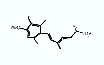 CCOC(=O)C(CC=C(C)C=Cc1c(C)cc(OC)c(C)c1C)C(C)=O